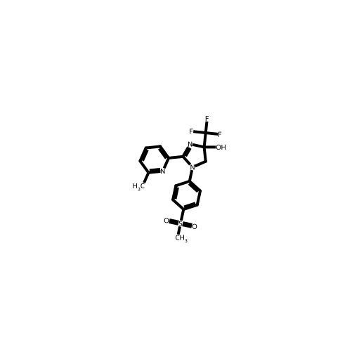 Cc1cccc(C2=NC(O)(C(F)(F)F)CN2c2ccc(S(C)(=O)=O)cc2)n1